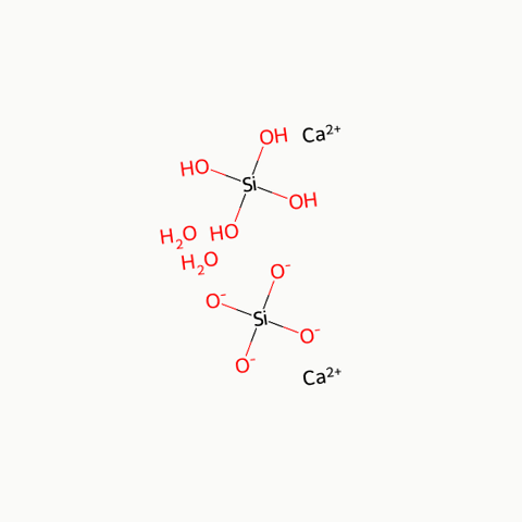 O.O.O[Si](O)(O)O.[Ca+2].[Ca+2].[O-][Si]([O-])([O-])[O-]